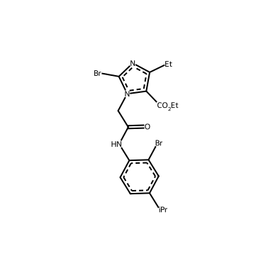 CCOC(=O)c1c(CC)nc(Br)n1CC(=O)Nc1ccc(C(C)C)cc1Br